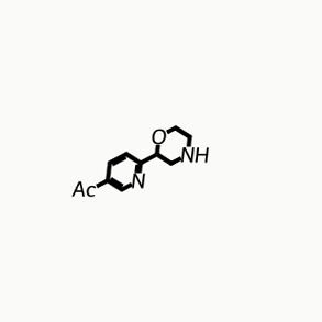 CC(=O)c1ccc(C2CNCCO2)nc1